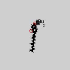 CC(C)=CCC/C(C)=C/CC/C(C)=C/CCC1(C)CCc2cc(O[SiH2]C(C)(C)C)ccc2C1=O